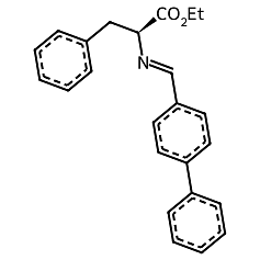 CCOC(=O)[C@H](Cc1ccccc1)N=Cc1ccc(-c2ccccc2)cc1